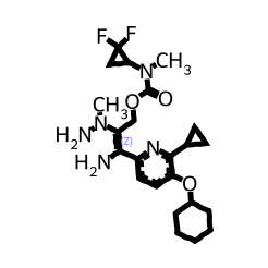 CN(N)/C(COC(=O)N(C)C1CC1(F)F)=C(\N)c1ccc(OC2CCCCC2)c(C2CC2)n1